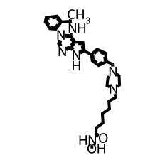 CC(Nc1ncnc2[nH]c(-c3ccc(CN4CCN(CCCCCCC(=O)NO)CC4)cc3)cc12)c1ccccc1